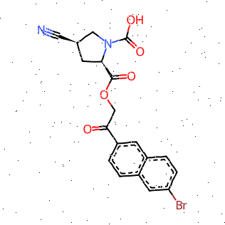 N#C[C@@H]1C[C@H](C(=O)OCC(=O)c2ccc3cc(Br)ccc3c2)N(C(=O)O)C1